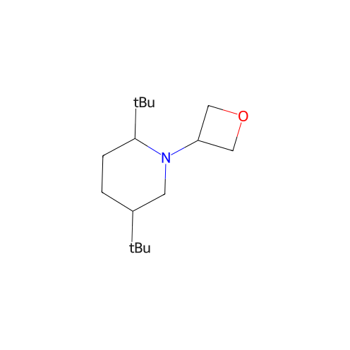 CC(C)(C)C1CCC(C(C)(C)C)N(C2COC2)C1